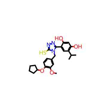 COc1cc(Cn2c(S)nnc2-c2cc(C(C)C)c(O)cc2O)ccc1OC1CCCC1